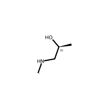 [CH2]NC[C@H](C)O